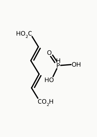 O=C(O)C=CC=CC(=O)O.O=[PH](O)O